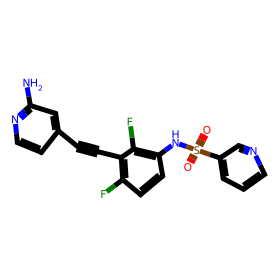 Nc1cc(C#Cc2c(F)ccc(NS(=O)(=O)c3cccnc3)c2F)ccn1